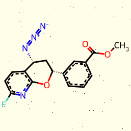 COC(=O)c1cccc([C@H]2C[C@@H](N=[N+]=[N-])c3ccc(F)nc3O2)c1